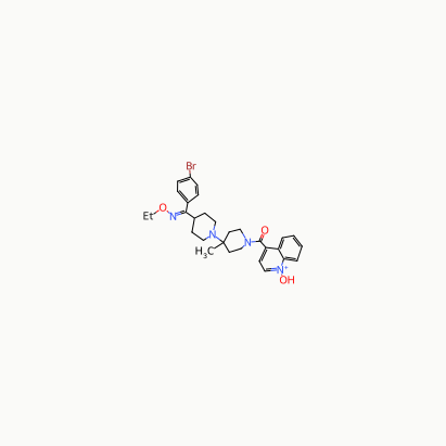 CCO/N=C(\c1ccc(Br)cc1)C1CCN(C2(C)CCN(C(=O)c3cc[n+](O)c4ccccc34)CC2)CC1